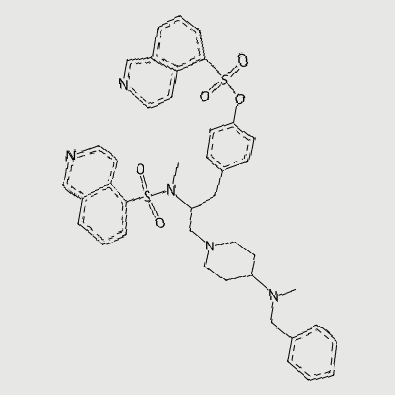 CN(Cc1ccccc1)C1CCN(CC(Cc2ccc(OS(=O)(=O)c3cccc4cnccc34)cc2)N(C)S(=O)(=O)c2cccc3cnccc23)CC1